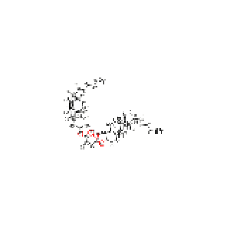 CC(C)CCC[C@@H](C)[C@H]1CC[C@H]2[C@@H]3CC=C4C[C@@H](OC(=O)CC(C)C(=O)O[C@H]5CC[C@@]6(C)C(=CC[C@H]7[C@@H]8CC[C@H]([C@H](C)CCCC(C)C)[C@@]8(C)CC[C@@H]76)C5)CC[C@]4(C)[C@H]3CC[C@]12C